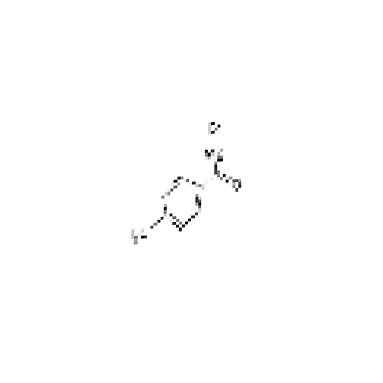 Cc1ccc([C](=O)[Mg][Br])cc1